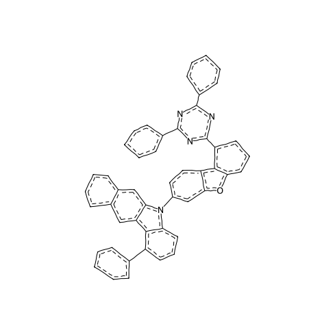 c1ccc(-c2nc(-c3ccccc3)nc(-c3cccc4oc5cc(-n6c7cc8ccccc8cc7c7c(-c8ccccc8)cccc76)ccc5c34)n2)cc1